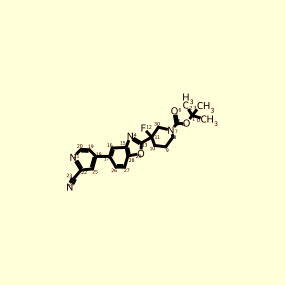 CC(C)(C)OC(=O)N1CCCC(F)(c2nc3cc(-c4ccnc(C#N)c4)ccc3o2)C1